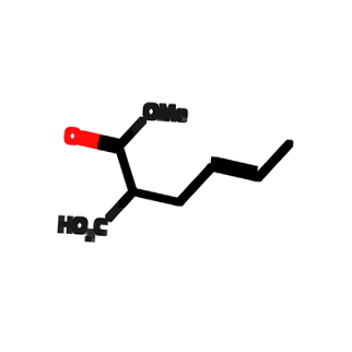 CC=CCC(C(=O)O)C(=O)OC